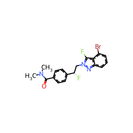 CN(C)C(=O)c1ccc([C@@H](F)Cn2nc3cccc(Br)c3c2F)cc1